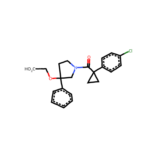 O=C(O)COC1(c2ccccc2)CCN(C(=O)C2(c3ccc(Cl)cc3)CC2)C1